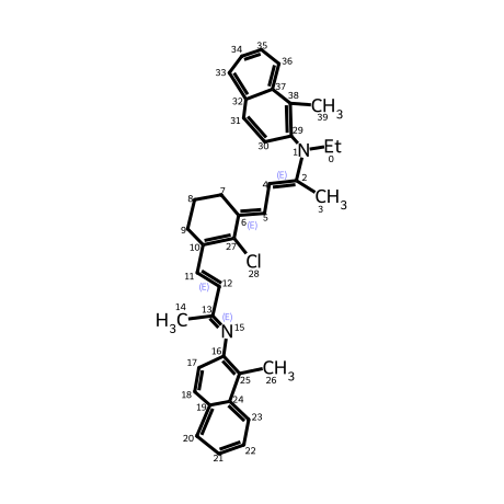 CCN(/C(C)=C/C=C1\CCCC(/C=C/C(C)=N/c2ccc3ccccc3c2C)=C1Cl)c1ccc2ccccc2c1C